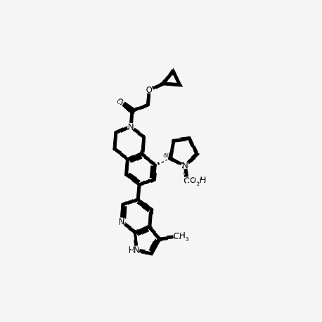 Cc1c[nH]c2ncc(-c3cc4c(c([C@@H]5CCCN5C(=O)O)c3)CN(C(=O)COC3CC3)CC4)cc12